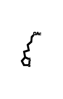 CC(=O)OCCCCCC1CCSS1